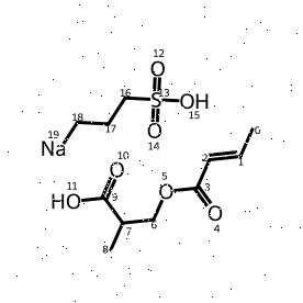 CC=CC(=O)OCC(C)C(=O)O.O=S(=O)(O)CC[CH2][Na]